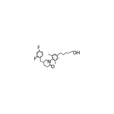 Cc1cc(CCCCCO)cc(C)c1N1CC(Cc2ccc(F)cc2F)CCC1=O